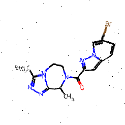 CCOC(=O)c1nnc2n1CCN(C(=O)c1cc3ccc(Br)cn3n1)C2C